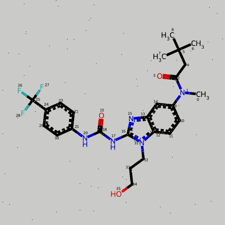 CN(C(=O)CC(C)(C)C)c1ccc2c(c1)nc(NC(=O)Nc1ccc(C(F)(F)F)cc1)n2CCCO